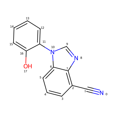 N#Cc1cccc2c1ncn2-c1ccccc1O